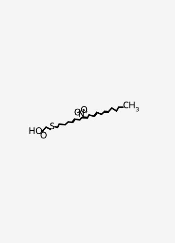 CCCCC/C=C/C/C=C/C/C=C(/C/C=C/CCCCSCCC(=O)O)[N+](=O)[O-]